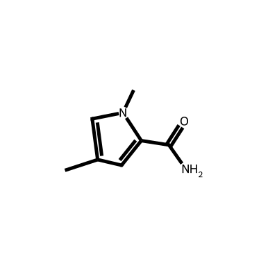 Cc1cc(C(N)=O)n(C)c1